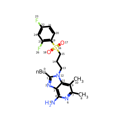 CCCCc1nc2c(N)nc(C)c(C)c2n1CCCS(=O)(=O)c1ccc(F)cc1F